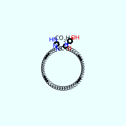 O=C(O)Nc1ccc(N2CCCCCCCCCCCCCCCCCCCCCCCCCCCCCCCCCCCCCCCCCCCCCCCCC3(CC2)CCN(C2CCC(O)CC2)C3=O)nc1